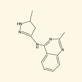 Cc1nc(NC2=NNC(C)C2)c2ccccc2n1